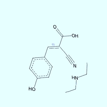 CCNCC.N#C/C(=C\c1ccc(O)cc1)C(=O)O